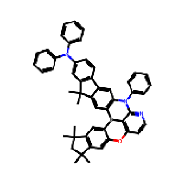 CC1(C)CC(C)(C)c2cc3c(cc21)Oc1ccnc2c1B3c1cc3c(cc1N2c1ccccc1)-c1ccc(N(c2ccccc2)c2ccccc2)cc1C3(C)C